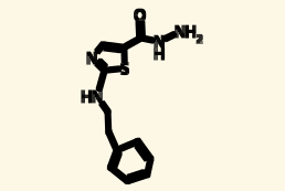 NNC(=O)c1cnc(NCCc2ccccc2)s1